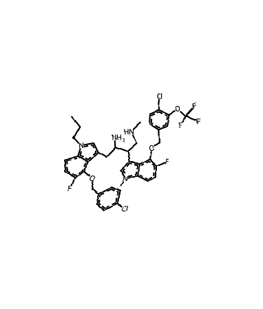 CCCn1cc(CC(N)C(CNC)c2cn(C)c3ccc(F)c(OCc4ccc(Cl)c(OC(F)(F)F)c4)c23)c2c(OCc3ccc(Cl)cc3)c(F)ccc21